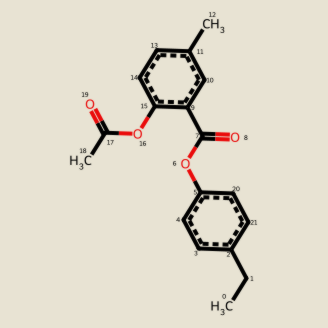 CCc1ccc(OC(=O)c2cc(C)ccc2OC(C)=O)cc1